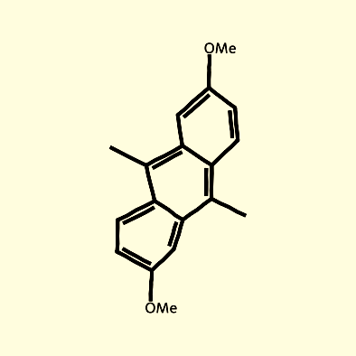 COc1ccc2c(C)c3cc(OC)ccc3c(C)c2c1